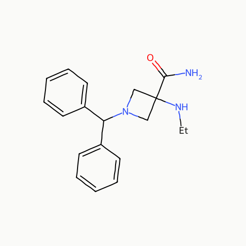 CCNC1(C(N)=O)CN(C(c2ccccc2)c2ccccc2)C1